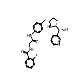 O=C(CNC(=O)c1ccccc1F)Nc1ccc(C[C@@H]2CC[C@H]([C@H](O)c3cccnc3)N2)cc1